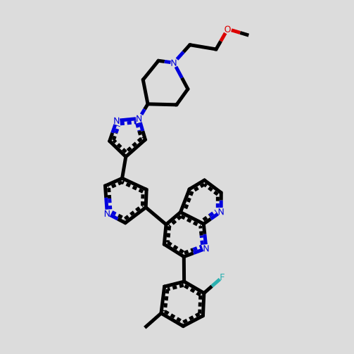 COCCN1CCC(n2cc(-c3cncc(-c4cc(-c5cc(C)ccc5F)nc5ncccc45)c3)cn2)CC1